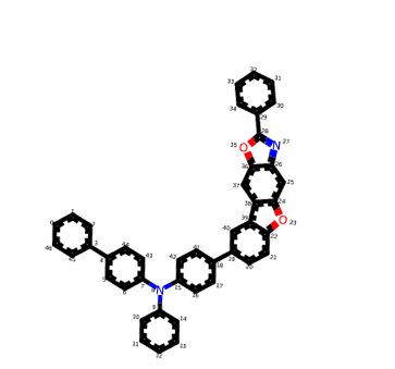 c1ccc(-c2ccc(N(c3ccccc3)c3ccc(-c4ccc5oc6cc7nc(-c8ccccc8)oc7cc6c5c4)cc3)cc2)cc1